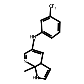 CC12N=CC(Nc3cccc(C(F)(F)F)c3)=CC1C=CN2